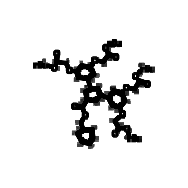 CCCCOC(=O)COc1cc(OCC(=O)OCCCC)cc(-c2cc(C(=O)OCc3ccccc3)cc(-c3cc(OCC(=O)OCCCC)cc(OCC(=O)OCCCC)c3)c2)c1